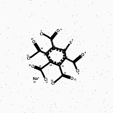 O=C(Cl)c1c([S-])c(C(=O)Cl)c(C(=O)Cl)c(C(=O)Cl)c1C(=O)Cl.[Na+]